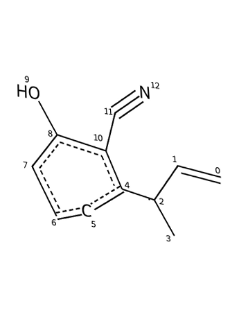 C=C[C](C)c1cccc(O)c1C#N